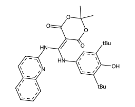 CC1(C)OC(=O)C(=C(Nc2cc(C(C)(C)C)c(O)c(C(C)(C)C)c2)Nc2ccc3ccccc3n2)C(=O)O1